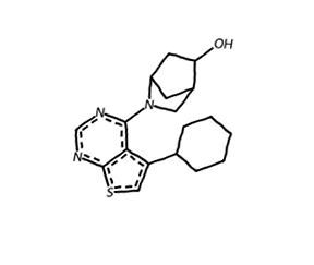 OC1CC2CC1CN2c1ncnc2scc(C3CCCCC3)c12